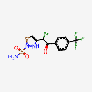 NS(=O)(=O)N1NC(C(Br)C(=O)c2ccc(C(F)(F)F)cc2)=CS1